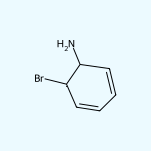 NC1C=CC=C[C]1Br